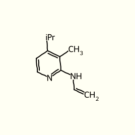 C=CNc1nccc(C(C)C)c1C